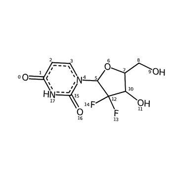 O=c1ccn(C2OC(CO)C(O)C2(F)F)c(=O)[nH]1